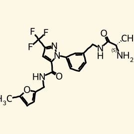 Cc1ccc(CNC(=O)c2cc(C(F)(F)F)nn2-c2cccc(CNC(=O)[C@H](C)N)c2)o1